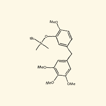 COc1ccc(Cc2cc(OC)c(OC)c(OC)c2)cc1O[Si](C)(C)C(C)(C)C